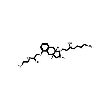 CCCCC[C@H](O)CC[C@@H]1[C@H]2Cc3cccc(OCC(O)NCCN)c3C[C@H]2C[C@H]1O